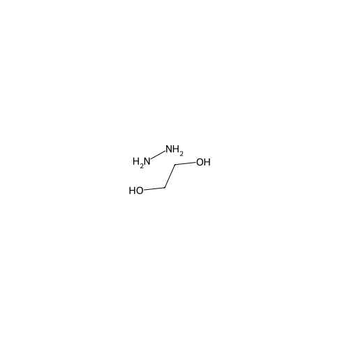 NN.OCCO